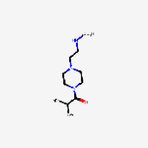 CCCC(CCC)C(=O)N1CCN(CCNC(=O)O)CC1